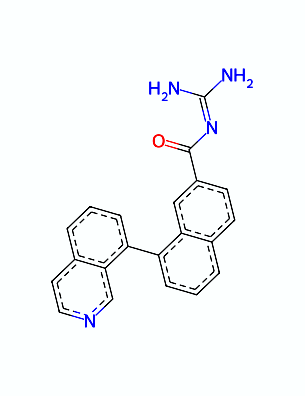 NC(N)=NC(=O)c1ccc2cccc(-c3cccc4ccncc34)c2c1